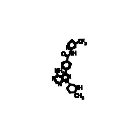 C[C@@H]1CC[C@H](n2nc(-c3ccc(C(=O)Nc4cc(C(F)(F)F)ccn4)cc3)c3c(N)ncnc32)CN1